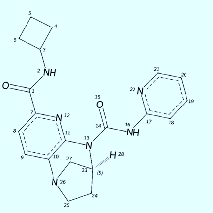 O=C(NC1CCC1)c1ccc2c(n1)N(C(=O)Nc1ccccn1)[C@H]1CCN2C1